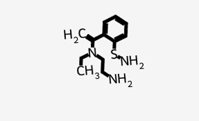 C=C(c1ccccc1SN)N(CC)CCN